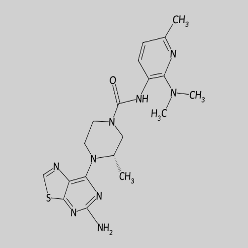 Cc1ccc(NC(=O)N2CCN(c3nc(N)nc4scnc34)[C@@H](C)C2)c(N(C)C)n1